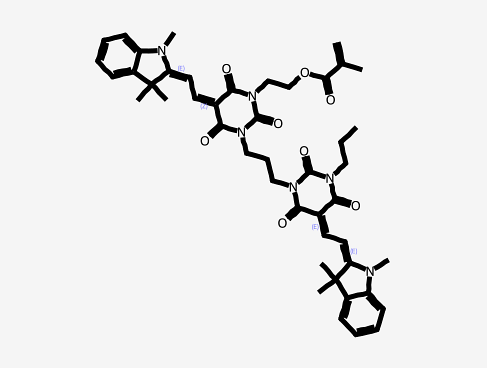 C=C(C)C(=O)OCCN1C(=O)/C(=C\C=C2\N(C)c3ccccc3C2(C)C)C(=O)N(CCCN2C(=O)/C(=C/C=C3/N(C)c4ccccc4C3(C)C)C(=O)N(CCC)C2=O)C1=O